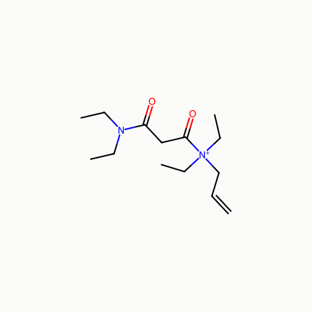 C=CC[N+](CC)(CC)C(=O)CC(=O)N(CC)CC